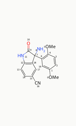 COc1ccc(OC)c(C2(N)C(=O)Nc3ccc(C#N)cc32)c1